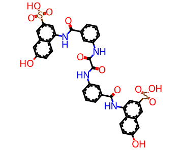 O=C(Nc1cccc(C(=O)Nc2cc(S(=O)(=O)O)cc3cc(O)ccc23)c1)C(=O)Nc1cccc(C(=O)Nc2cc(S(=O)(=O)O)cc3cc(O)ccc23)c1